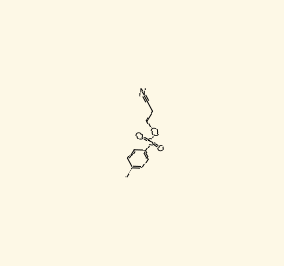 Cc1ccc(S(=O)(=O)OCCC#N)cc1